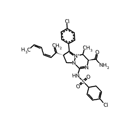 C=C(/C=C\C=C/C)[C@H]1CN2C(NS(=O)(=O)C3C=CC(Cl)=CC3)=N[C@H](C(N)=O)C(C)[N+]2=C1c1ccc(Cl)cc1